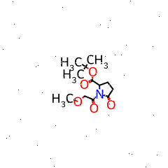 COCC(=O)N1C(=O)CCC1C(=O)OC(C)(C)C